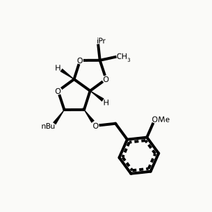 CCCC[C@H]1O[C@@H]2OC(C)(C(C)C)O[C@@H]2[C@H]1OCc1ccccc1OC